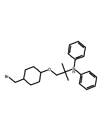 CC(C)(COC1CCC(CBr)CC1)[SiH](c1ccccc1)c1ccccc1